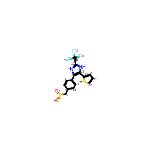 O=[SH](=O)Cc1ccc(-c2nc(C(F)(F)F)[nH]c2-c2cccs2)cc1